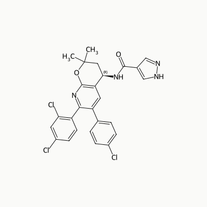 CC1(C)C[C@@H](NC(=O)c2cn[nH]c2)c2cc(-c3ccc(Cl)cc3)c(-c3ccc(Cl)cc3Cl)nc2O1